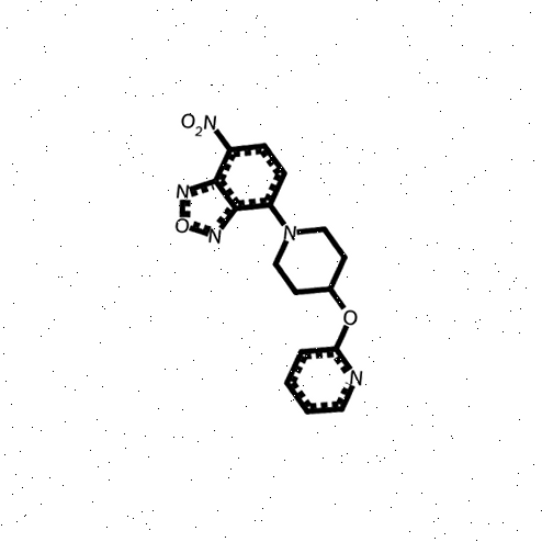 O=[N+]([O-])c1ccc(N2CCC(Oc3ccccn3)CC2)c2nonc12